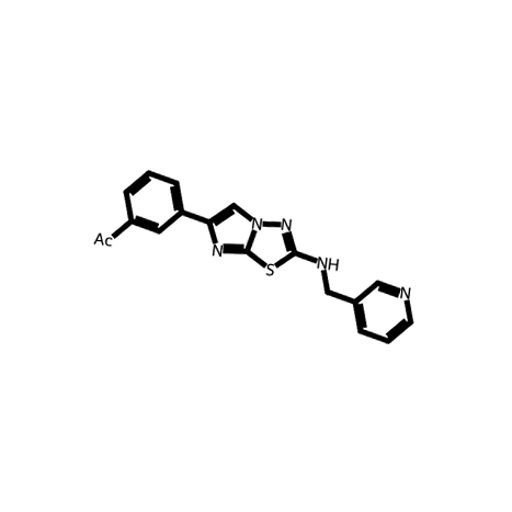 CC(=O)c1cccc(-c2cn3nc(NCc4cccnc4)sc3n2)c1